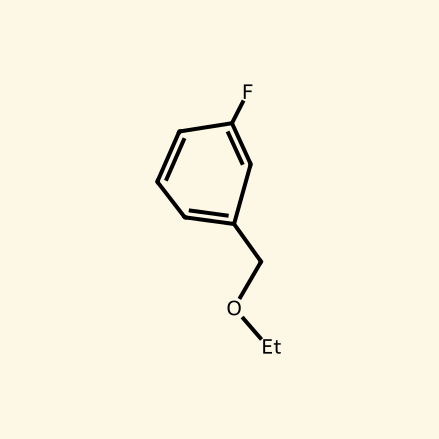 [CH2]COCc1cccc(F)c1